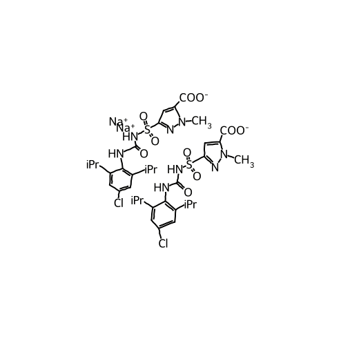 CC(C)c1cc(Cl)cc(C(C)C)c1NC(=O)NS(=O)(=O)c1cc(C(=O)[O-])n(C)n1.CC(C)c1cc(Cl)cc(C(C)C)c1NC(=O)NS(=O)(=O)c1cc(C(=O)[O-])n(C)n1.[Na+].[Na+]